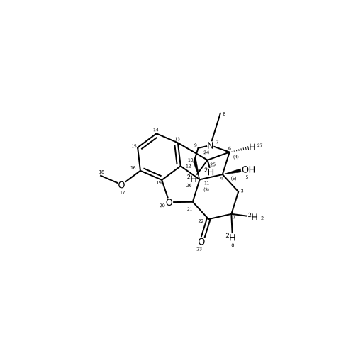 [2H]C1([2H])C[C@@]2(O)[C@@H]3N(C)CC[C@@]24c2c(ccc(OC)c2OC4C1=O)C3([2H])[2H]